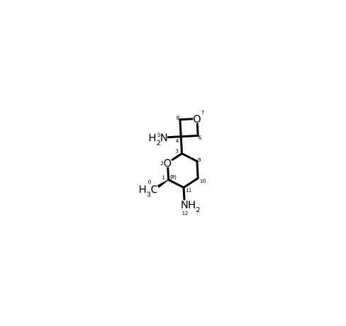 C[C@H]1OC(C2(N)COC2)CCC1N